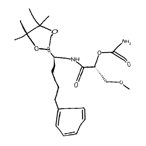 COC[C@@H](OC(N)=O)C(=O)N[C@@H](CCCc1ccccc1)B1OC(C)(C)C(C)(C)O1